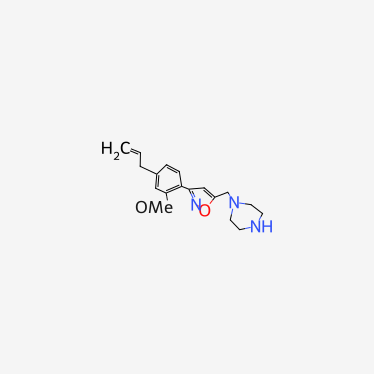 C=CCc1ccc(-c2cc(CN3CCNCC3)on2)c(OC)c1